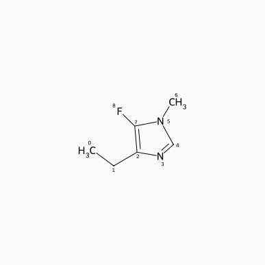 CCc1ncn(C)c1F